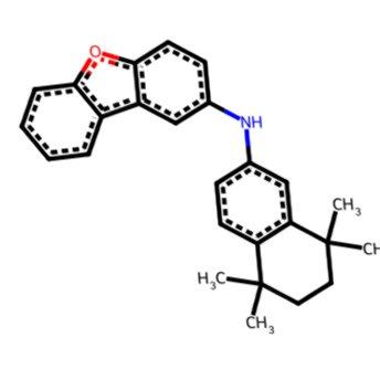 CC1(C)CCC(C)(C)c2cc(Nc3ccc4oc5ccccc5c4c3)ccc21